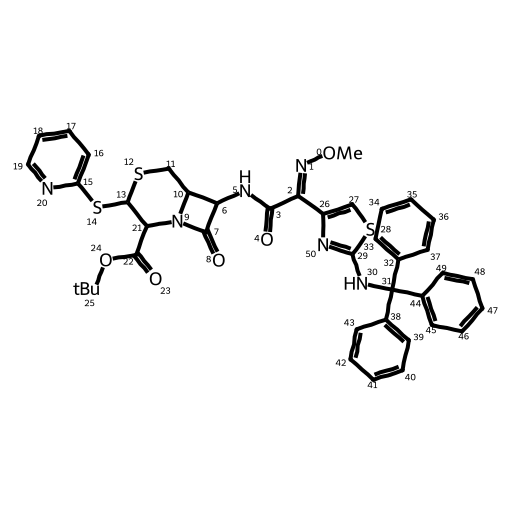 CON=C(C(=O)NC1C(=O)N2C1CSC(Sc1ccccn1)C2C(=O)OC(C)(C)C)c1csc(NC(c2ccccc2)(c2ccccc2)c2ccccc2)n1